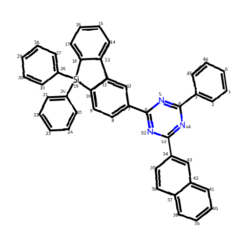 c1ccc(-c2nc(-c3ccc4c(c3)-c3ccccc3[Si]4(c3ccccc3)c3ccccc3)nc(-c3ccc4ccccc4c3)n2)cc1